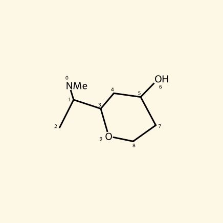 CNC(C)C1CC(O)CCO1